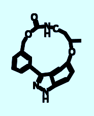 CC1CCNC(=O)OCc2cccc(c2)-c2n[nH]c3ccc(cc23)O1